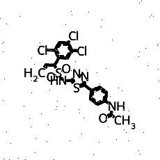 C=CC(c1cc(Cl)c(Cl)cc1Cl)S(=O)(=O)Nc1nnc(-c2ccc(NC(C)=O)cc2)s1